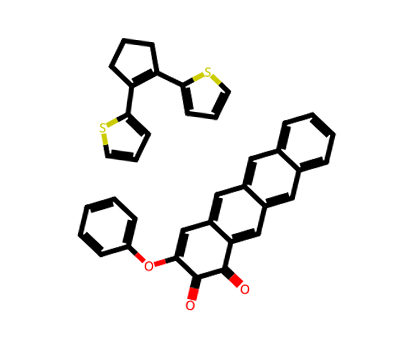 O=C1C(=O)c2cc3cc4ccccc4cc3cc2C=C1Oc1ccccc1.c1csc(C2=C(c3cccs3)CCC2)c1